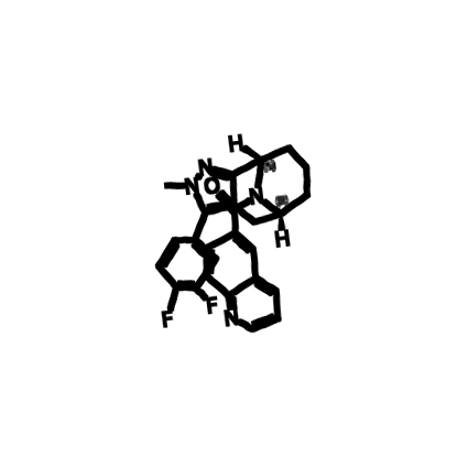 Cn1nc2c(c1-c1ccc(F)c(F)c1)C[C@H]1CCC[C@@H]2N1C(=O)c1ccc2ncccc2c1